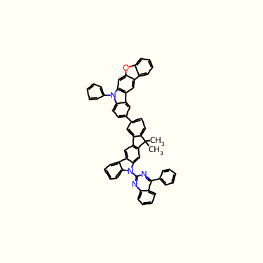 CC1(C)c2ccc(-c3ccc4c(c3)c3cc5c(cc3n4-c3ccccc3)oc3ccccc35)cc2-c2cc3c4ccccc4n(-c4nc(-c5ccccc5)c5ccccc5n4)c3cc21